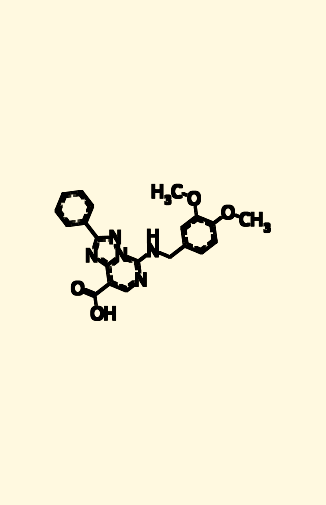 COc1ccc(CNc2ncc(C(=O)O)c3nc(-c4ccccc4)nn23)cc1OC